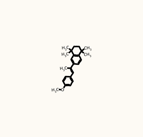 COc1ccc(C=C(C)c2ccc3c(c2)C(C)(C)CCC3(C)C)cc1